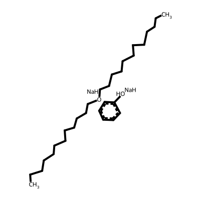 CCCCCCCCCCCCOCCCCCCCCCCCC.Oc1ccccc1.[NaH].[NaH]